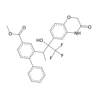 COC(=O)c1ccc(-c2ccccc2)c(C(C)C(O)(c2ccc3c(c2)NC(=O)CO3)C(F)(F)F)c1